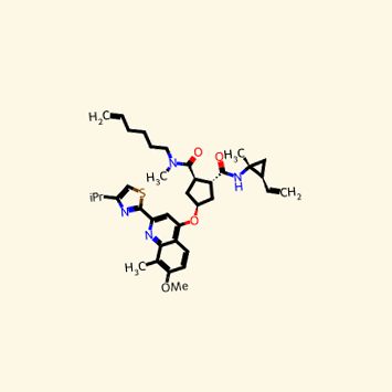 C=CCCCCN(C)C(=O)[C@@H]1C[C@H](Oc2cc(-c3nc(C(C)C)cs3)nc3c(C)c(OC)ccc23)C[C@H]1C(=O)N[C@]1(C)C[C@H]1C=C